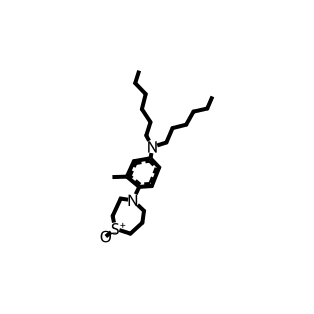 CCCCCCN(CCCCCC)c1ccc(N2CCC[S+]([O-])CC2)c(C)c1